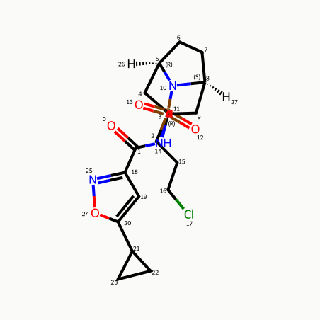 O=C(N[C@H]1C[C@H]2CC[C@@H](C1)N2S(=O)(=O)CCCCl)c1cc(C2CC2)on1